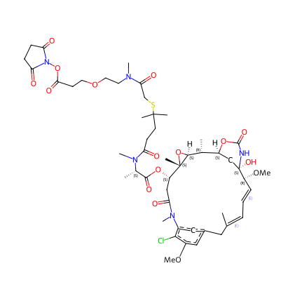 COc1cc2cc(c1Cl)N(C)C(=O)C[C@H](OC(=O)[C@H](C)N(C)C(=O)CCC(C)(C)SCC(=O)N(C)CCOCCC(=O)ON1C(=O)CCC1=O)[C@]1(C)O[C@H]1[C@H](C)[C@@H]1C[C@@](O)(NC(=O)O1)[C@H](OC)/C=C/C=C(\C)C2